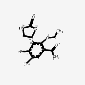 CCOc1c(C(C)=O)cc(Cl)c(F)c1[C@@H]1CNC(=O)O1